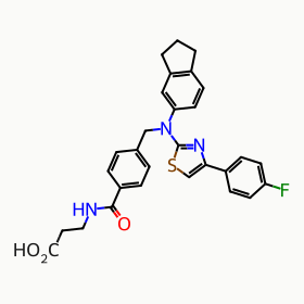 O=C(O)CCNC(=O)c1ccc(CN(c2ccc3c(c2)CCC3)c2nc(-c3ccc(F)cc3)cs2)cc1